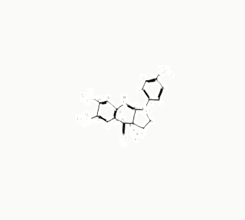 Cc1ccc(N2CC[C@@]3(O)C(=O)c4cc(C)c(C(F)(F)F)cc4N=C23)cc1